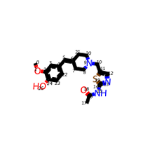 COc1cc(C=C2CCN(Cc3cnc(NC(C)=O)s3)CC2)ccc1O